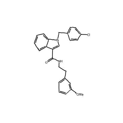 COc1cccc(CCNC(=O)c2cn(Cc3ccc(Cl)cc3)c3ccccc23)c1